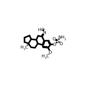 COc1cc2c(cc1OS(N)(=O)=O)C(=NO)CC1C2CC[C@]2(C)CCCC12